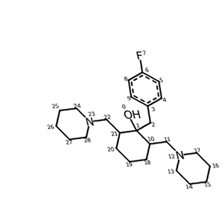 OC1(Cc2ccc(F)cc2)C(CN2CCCCC2)CCCC1CN1CCCCC1